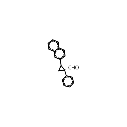 O=C[C@]1(c2ccccc2)CC1c1ccc2ccccc2c1